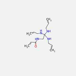 C=CCNC(CNC(=O)C=C)(NCC=C)NCC=C